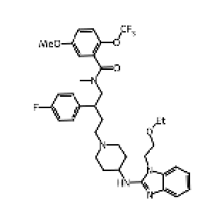 CCOCCn1c(NC2CCN(CCC(CN(C)C(=O)c3cc(OC)ccc3OC(F)(F)F)c3ccc(F)cc3)CC2)nc2ccccc21